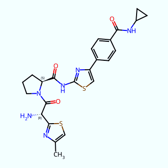 Cc1csc([C@H](N)C(=O)N2CCC[C@H]2C(=O)Nc2nc(-c3ccc(C(=O)NC4CC4)cc3)cs2)n1